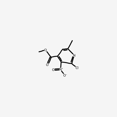 COC(=O)c1cc(C)nc(Cl)c1[N+](=O)[O-]